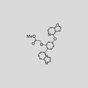 COC(=O)COc1cc(Oc2nccc3occc23)ccc1-c1cccc2nccn12